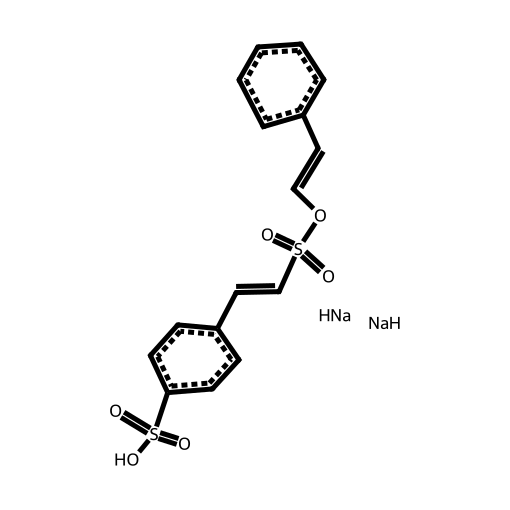 O=S(=O)(C=Cc1ccc(S(=O)(=O)O)cc1)OC=Cc1ccccc1.[NaH].[NaH]